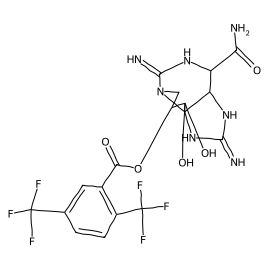 N=C1NC2C(C(N)=O)NC(=N)N3CC(OC(=O)c4cc(C(F)(F)F)ccc4C(F)(F)F)C(O)(O)C23N1